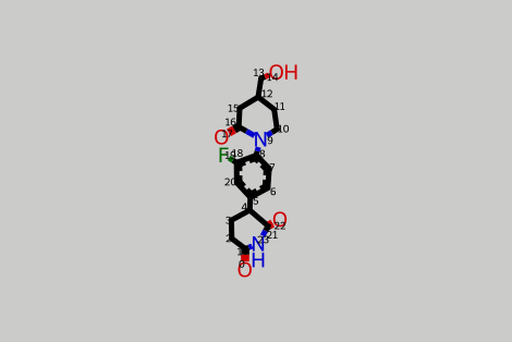 O=C1CCC(c2ccc(N3CCC(CO)CC3=O)c(F)c2)C(=O)N1